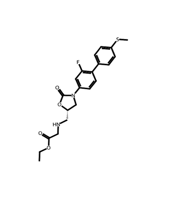 CCOC(=O)CNC[C@H]1CN(c2ccc(-c3ccc(SC)cc3)c(F)c2)C(=O)O1